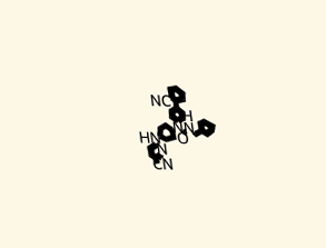 N#Cc1ccc(NC2CCC(N(C(=O)NCc3ccccc3)c3ccc(-c4ccccc4C#N)cc3)CC2)nc1